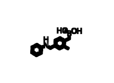 Cc1cc(CNc2ccccc2)ccc1CB(O)O